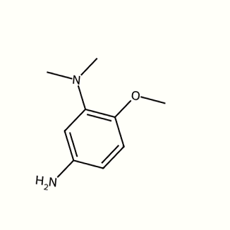 COc1ccc(N)cc1N(C)C